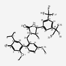 COc1cc(F)c(C(C)C)cc1-c1ccc(SC)cc1CN1C(=O)OC(c2cc(C(F)(F)F)cc(C(F)(F)F)c2)C1C